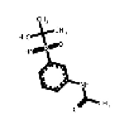 CC(=O)Nc1cccc(S(=N)(=O)C(C)(C)C)c1